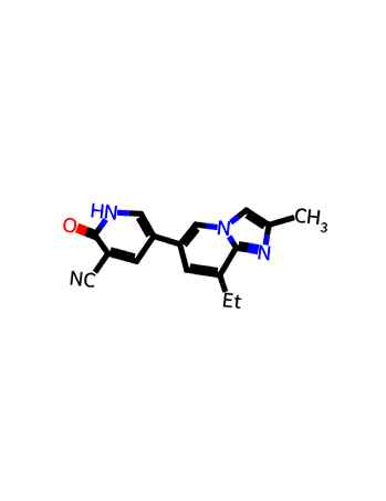 CCc1cc(-c2c[nH]c(=O)c(C#N)c2)cn2cc(C)nc12